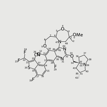 COC1(C)COCC2CCOc3c(Cl)c(-c4ccc(F)c5sc(C(F)F)c(C#N)c45)c(F)c4nc(OC[C@@]56CCCN5C[C@H](C)C6)nc(c34)N2C1